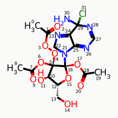 CC(=O)OO[C@]1(OC(C)=O)[C@H](O)[C@@H](CO)O[C@@]1(OC(C)=O)N1CN=C2C1=NC=NC2(N)Cl